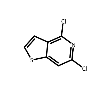 Clc1cc2sccc2c(Cl)n1